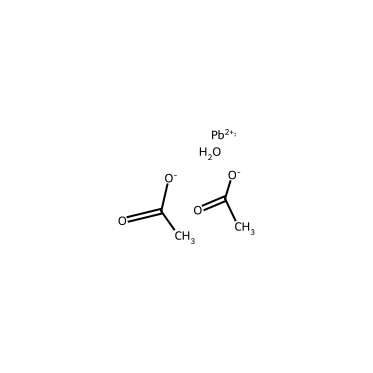 CC(=O)[O-].CC(=O)[O-].O.[Pb+2]